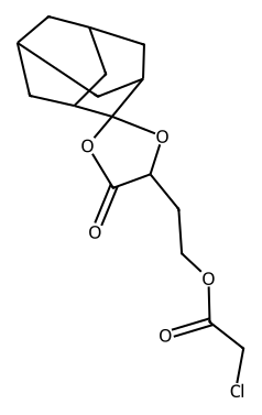 O=C(CCl)OCCC1OC2(OC1=O)C1CC3CC(C1)CC2C3